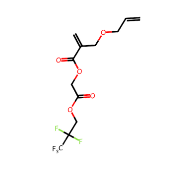 C=CCOCC(=C)C(=O)OCC(=O)OCC(F)(F)C(F)(F)F